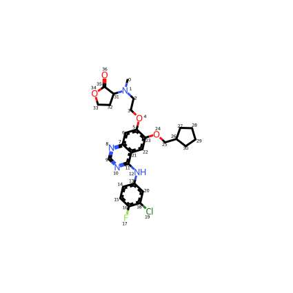 CN(CCOc1cc2ncnc(Nc3ccc(F)c(Cl)c3)c2cc1OCC1CCCC1)C1CCOC1=O